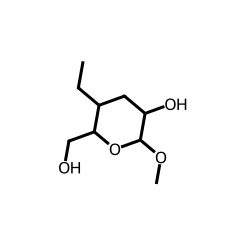 CCC1CC(O)C(OC)OC1CO